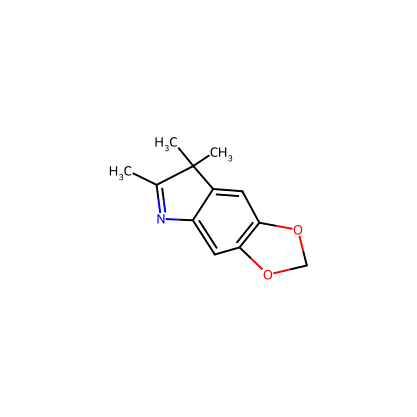 CC1=Nc2cc3c(cc2C1(C)C)OCO3